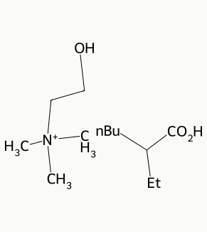 CCCCC(CC)C(=O)O.C[N+](C)(C)CCO